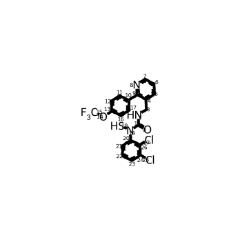 O=C(NCc1cccnc1-c1ccc(OC(F)(F)F)cc1)N(S)c1cccc(Cl)c1Cl